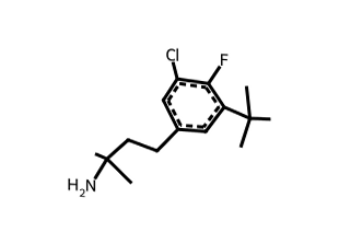 CC(C)(N)CCc1cc(Cl)c(F)c(C(C)(C)C)c1